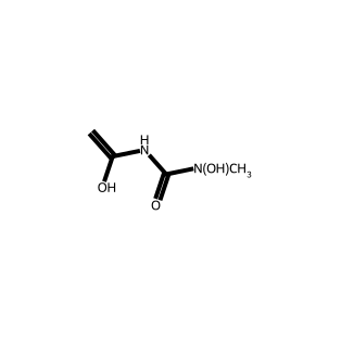 C=C(O)NC(=O)N(C)O